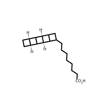 O=C(O)CCCCCCCC1CC2C1[C@H]1C3C([C@@H]21)[C@@H]1CC[C@H]31